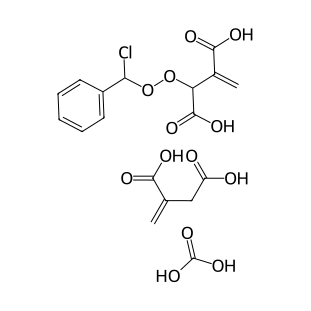 C=C(C(=O)O)C(OOC(Cl)c1ccccc1)C(=O)O.C=C(CC(=O)O)C(=O)O.O=C(O)O